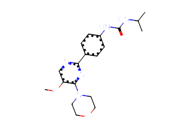 COc1cnc(-c2ccc(NC(=O)NC(C)C)cc2)nc1N1CCOCC1